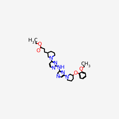 CCOC(=O)CCC1CCCN(c2ccnc(Nc3cncc(N4CCCC(Oc5ccccc5OCC)C4)n3)n2)C1